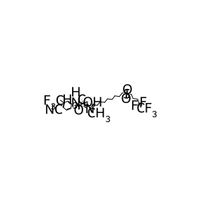 CN(CCCCCCCCCS(=O)(=O)CCCC(F)(F)C(F)(F)F)C[C@](C)(O)C(=O)Nc1ccc(C#N)c(C(F)(F)F)c1